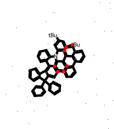 CC(C)(C)c1cc(N(c2ccccc2-c2cccc3c2-c2ccccc2C3(c2ccccc2)c2ccccc2)c2ccccc2-c2cccc3cccc(-c4ccccc4)c23)cc(C(C)(C)C)c1